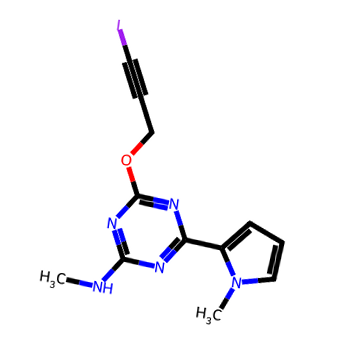 CNc1nc(OCC#CI)nc(-c2cccn2C)n1